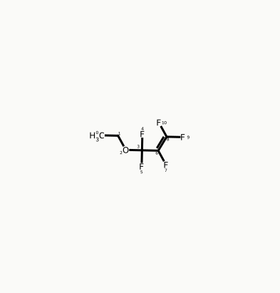 CCOC(F)(F)C(F)=C(F)F